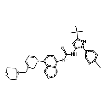 Cc1ccc(-n2nc(C(C)(C)C)cc2NC(=O)Nc2ccc(N3C=CC=C(CN4CCOCC4)C3)c3ccccc23)cc1